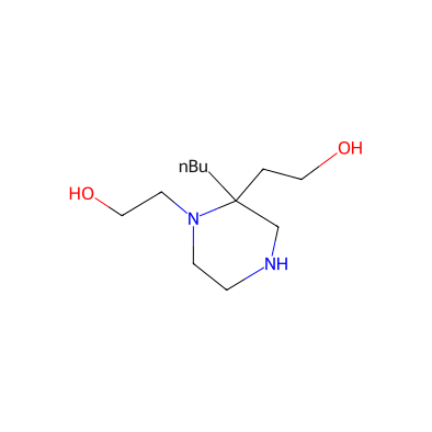 CCCCC1(CCO)CNCCN1CCO